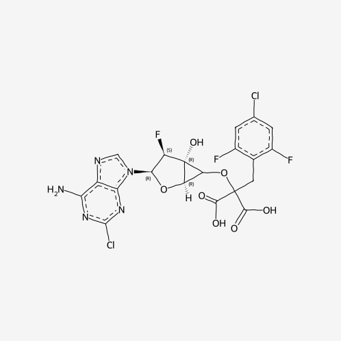 Nc1nc(Cl)nc2c1ncn2[C@@H]1O[C@@H]2C(OC(Cc3c(F)cc(Cl)cc3F)(C(=O)O)C(=O)O)[C@]2(O)[C@@H]1F